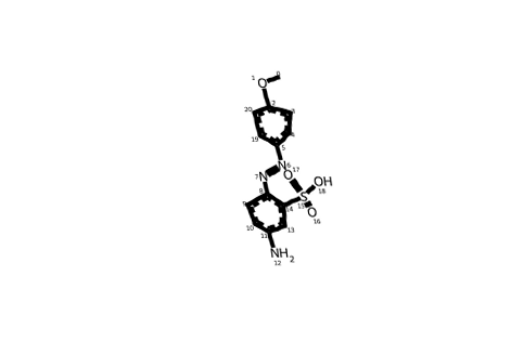 COc1ccc(N=Nc2ccc(N)cc2S(=O)(=O)O)cc1